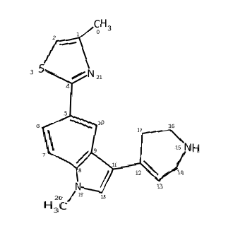 Cc1csc(-c2ccc3c(c2)c(C2=CCNCC2)cn3C)n1